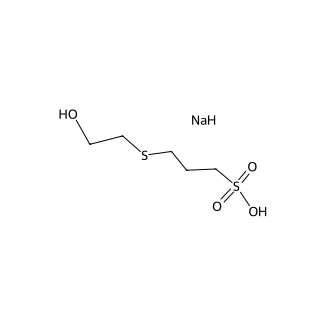 O=S(=O)(O)CCCSCCO.[NaH]